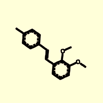 COc1cccc(/C=C/c2ccc(C)cc2)c1OC